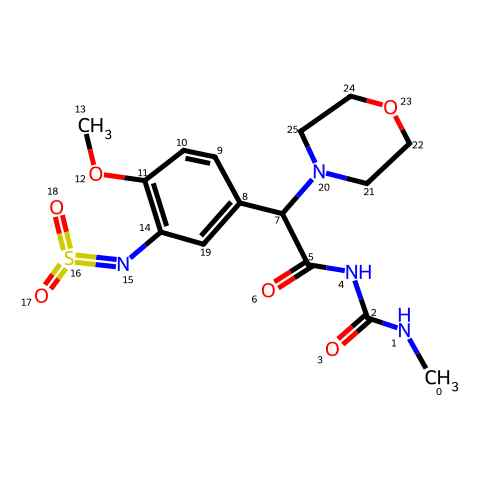 CNC(=O)NC(=O)C(c1ccc(OC)c(N=S(=O)=O)c1)N1CCOCC1